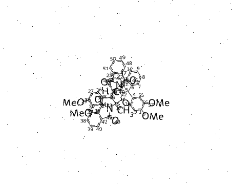 COc1ccc(C(c2ccccc2)[C@@](C)(C(=O)[C@](C)(C(c2ccccc2)c2ccc(OC)c(OC)c2)N2C(=O)c3ccccc3C2=O)N2C(=O)c3ccccc3C2=O)cc1OC